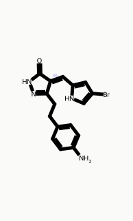 Nc1ccc(CCC2=NNC(=O)/C2=C/c2cc(Br)c[nH]2)cc1